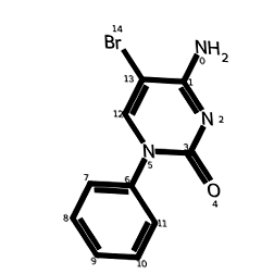 Nc1nc(=O)n(-c2ccccc2)cc1Br